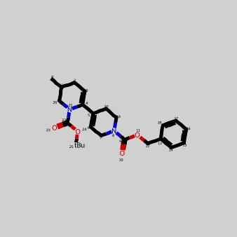 CC1CC=C(C2=CCN(C(=O)OCc3ccccc3)CC2)N(C(=O)OC(C)(C)C)C1